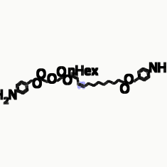 CCCCCC[C@H](C/C=C\CCCCCCCC(=O)OCc1ccc(N)cc1)OC(=O)COCC(=O)OCc1ccc(N)cc1